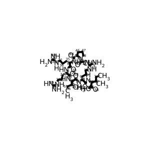 CC[C@H](C)[C@H](NC(=O)[C@H](CCCNC(=N)N)NC(=O)[C@@H](NC(=O)[C@H](CCCNC(=N)N)NC(=O)[C@H](CCCNC(=N)N)NC(=O)[C@@H]1CCCN1C(C)=O)[C@@H](C)CC)C(=O)O